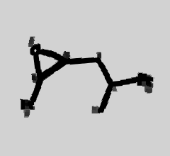 CCC(C)CC1OC1CC